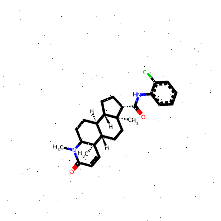 CN1C(=O)C=C[C@@]2(C)C1CC[C@H]1[C@@H]3CC[C@H](C(=O)Nc4ccccc4Cl)[C@@]3(C)CC[C@@H]12